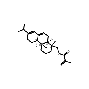 C=C(C)C(=O)OC[C@]1(C)CCC[C@]2(C)[C@H]3CCC(C(C)C)=CC3=CC[C@@H]12